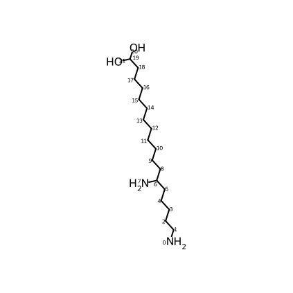 NCCCCCC(N)CCCCCCCCCCCC(O)O